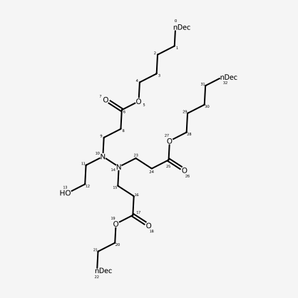 CCCCCCCCCCCCCCOC(=O)CCN(CCO)N(CCC(=O)OCCCCCCCCCCCC)CCC(=O)OCCCCCCCCCCCCCC